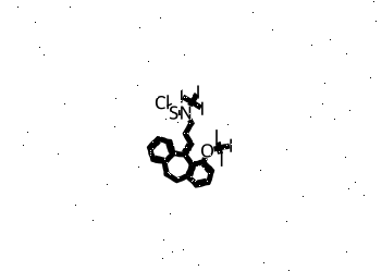 ClSN(CC/C=C1\c2ccccc2CCc2cccc(OC(I)(I)I)c21)C(I)(I)I